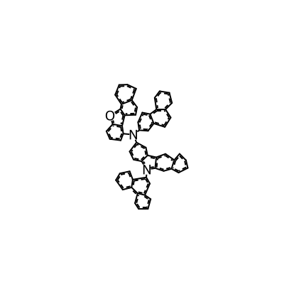 c1ccc2cc3c(cc2c1)c1cc(N(c2ccc4c(ccc5ccccc54)c2)c2cccc4oc5c6ccccc6ccc5c24)ccc1n3-c1cc2ccccc2c2ccccc12